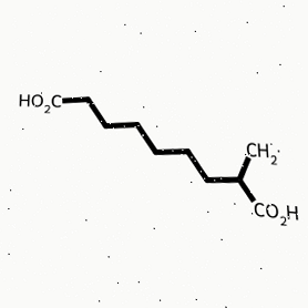 [CH2]C(CCCCCCC(=O)O)C(=O)O